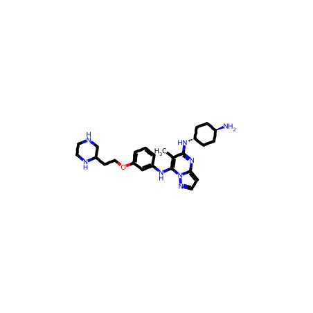 Cc1c(N[C@H]2CC[C@H](N)CC2)nc2ccnn2c1Nc1cccc(OCCC2CNCCN2)c1